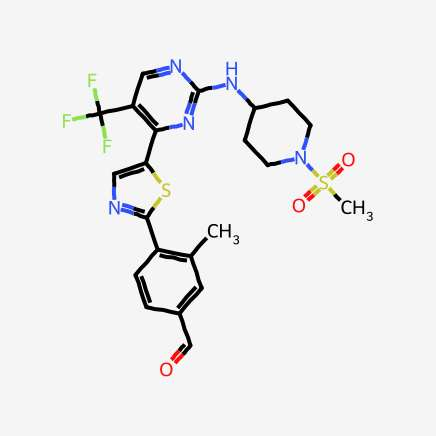 Cc1cc(C=O)ccc1-c1ncc(-c2nc(NC3CCN(S(C)(=O)=O)CC3)ncc2C(F)(F)F)s1